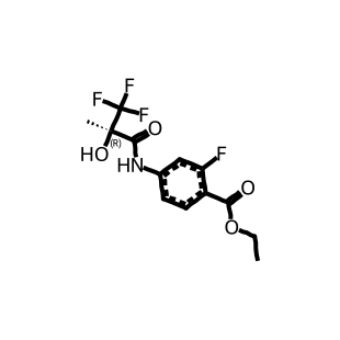 CCOC(=O)c1ccc(NC(=O)[C@@](C)(O)C(F)(F)F)cc1F